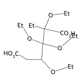 CCOC(CC(=O)O)C(OCC)(OCC)C(CC)(OCC)C(=O)O